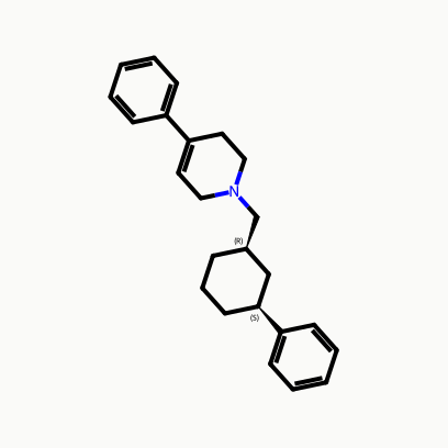 C1=C(c2ccccc2)CCN(C[C@@H]2CCC[C@H](c3ccccc3)C2)C1